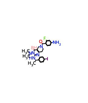 B=C1C2=C(CCN(C(=O)c3ccc(N)cc3F)C2)N=C(N[C@@H](C)c2ccc(I)cc2)N1N(C)C